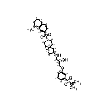 CN1CCOc2ccc(S(=O)(=O)N3CCC4(CC3)CC(NC[C@H](O)COc3cccc(S(=O)(=O)N(C)C)c3)CO4)cc21